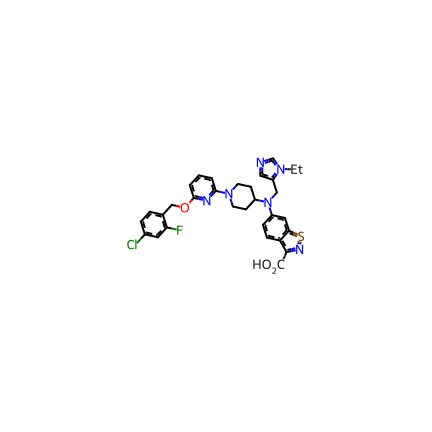 CCn1cncc1CN(c1ccc2c(C(=O)O)nsc2c1)C1CCN(c2cccc(OCc3ccc(Cl)cc3F)n2)CC1